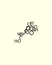 CC(C)(CCO)NCc1cc2cc(Cl)c3c(c2o1)C1(CCCCC1)NC(=O)N3